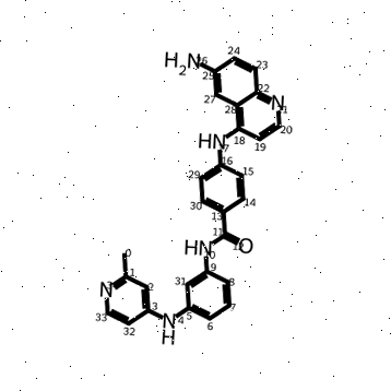 Cc1cc(Nc2cccc(NC(=O)c3ccc(Nc4ccnc5ccc(N)cc45)cc3)c2)ccn1